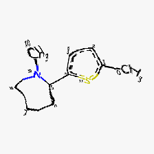 Cc1ccc(C2CCCN2C)s1